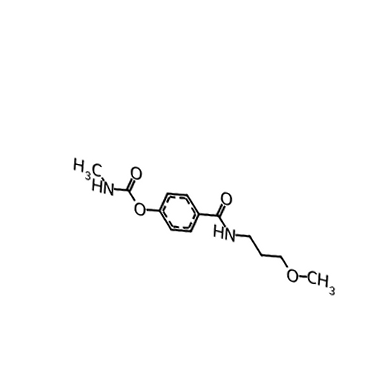 CNC(=O)Oc1ccc(C(=O)NCCCOC)cc1